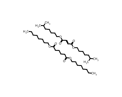 CC(C)CCCCCOC(=O)/C=C/C(=O)OCCCCCC(C)C.CCCCCCCCOC(=O)CCCCC(=O)OCCCCCCCC